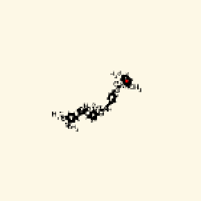 COc1ccc(C[C@H]2COC(=O)[C@@H]2Cc2ccc(OC(=O)NCCN3CCC(COC(=O)NC45CC6CC(C)(CC(C)(C6)C4)C5)CC3)c(OC)c2)cc1OC